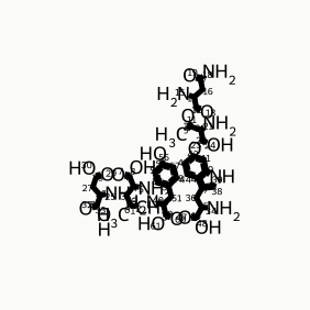 CC(C)CC(N)C(=O)O.CC(OC(=O)C(N)CC(N)=O)C(N)C(=O)O.NC(CC(=O)O)C(=O)O.NC(Cc1c[nH]c2ccccc12)C(=O)O.NC(Cc1ccc(O)cc1)C(=O)O